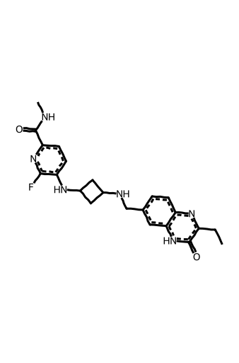 CCc1nc2ccc(CNC3CC(Nc4ccc(C(=O)NC)nc4F)C3)cc2[nH]c1=O